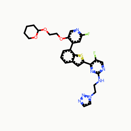 Fc1cc(-c2cccc3cc(-c4nc(NCCn5ccnn5)ncc4F)sc23)c(OCCOC2CCCCO2)cn1